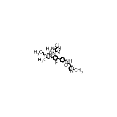 CCCN1CCN(c2cc(F)c(-c3ccc(NC(=O)Cc4ccnc(C)n4)cc3)cc2Nc2ncnc(Cl)c2N)C[C@@H]1C